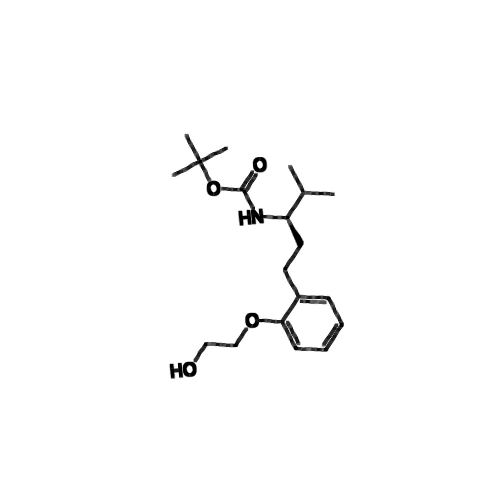 CC(C)[C@@H](CCc1ccccc1OCCO)NC(=O)OC(C)(C)C